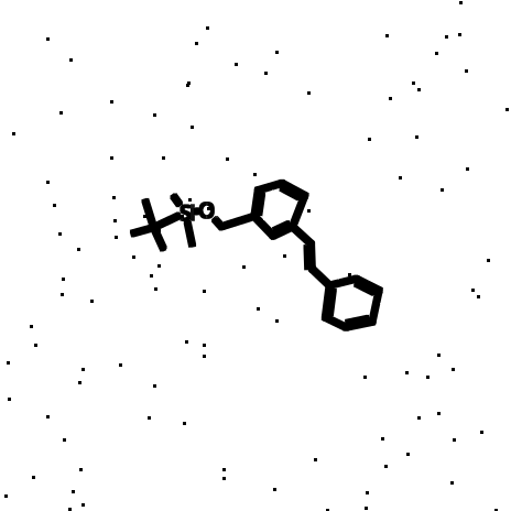 CC(C)(C)[Si](C)(C)OCc1cccc(C=Cc2ccccc2)c1